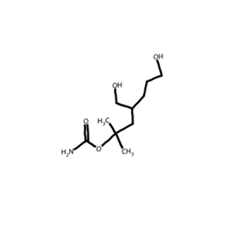 CC(C)(CC(CO)CCCO)OC(N)=O